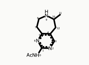 CC(=O)Nc1ncc2c(n1)CCNC(C)C2